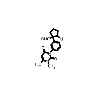 Cn1c(C(F)(F)F)cc(=O)n(-c2cccc(C3(C=O)CCCC3Cl)c2)c1=O